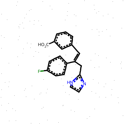 O=C(O)c1cccc(C=C(Cc2ncc[nH]2)c2ccc(F)cc2)c1